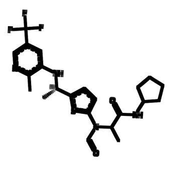 Cc1ncc(C(F)(F)F)cc1N[C@@H](C)c1ccc(N(C=O)C(C)C(=O)NC2CCCC2)s1